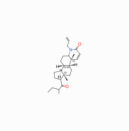 C=CCN1C(=O)C=C[C@@]2(C)C1CC[C@@H]1[C@H]2CC[C@]2(C)C(C(=O)C(C)CC)CC[C@@H]12